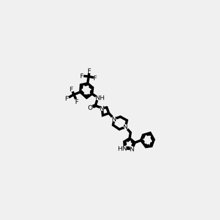 O=C(Nc1cc(C(F)(F)F)cc(C(F)(F)F)c1)N1CC(N2CCN(Cc3c[nH]nc3-c3ccccc3)CC2)C1